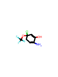 NC1=CCC(Cl)(OC(F)(F)F)C=C1O